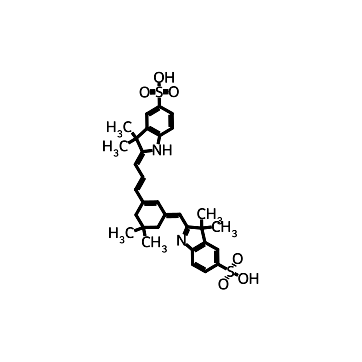 CC1(C)CC(C=CC=C2Nc3ccc(S(=O)(=O)O)cc3C2(C)C)=C/C(=C/C2=Nc3ccc(S(=O)(=O)O)cc3C2(C)C)C1